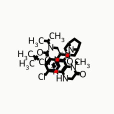 CC(C)N(C[C@@H](C(=O)N1C2CCC1CN(c1ncnc3c1N(C)C(=O)CN3)C2)c1ccc(Cl)cc1)C(=O)OC(C)(C)C